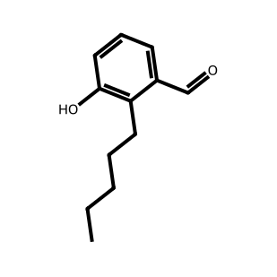 CCCCCc1c(O)cccc1C=O